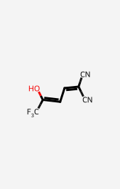 N#CC(C#N)=C/C=C(\O)C(F)(F)F